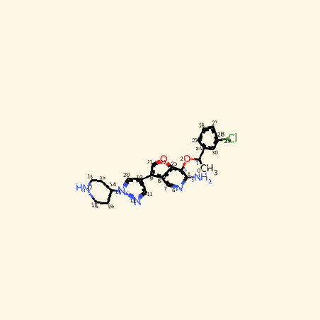 CC(Oc1c(N)ncc2c(-c3cnn(C4CCNCC4)c3)coc12)c1cccc(Cl)c1